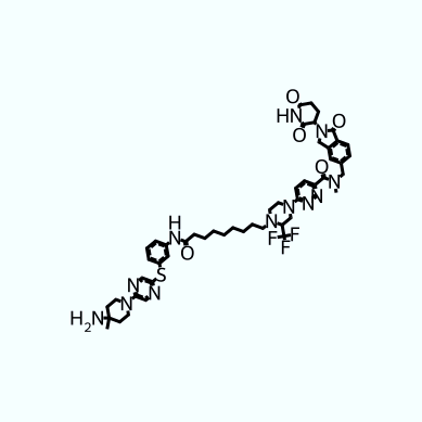 CN(Cc1ccc2c(c1)CN(C1CCC(=O)NC1=O)C2=O)C(=O)c1ccc(N2CCN(CCCCCCCCC(=O)Nc3cccc(Sc4cnc(N5CCC(C)(N)CC5)cn4)c3)C(C(F)(F)F)C2)nn1